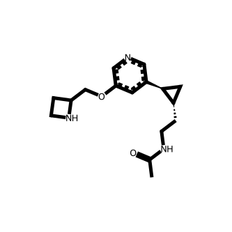 CC(=O)NCC[C@H]1C[C@@H]1c1cncc(OCC2CCN2)c1